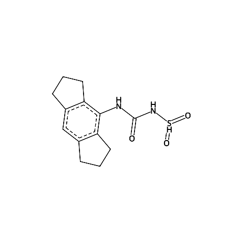 O=C(Nc1c2c(cc3c1CCC3)CCC2)N[SH](=O)=O